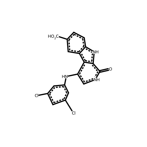 O=C(O)c1ccc2[nH]c3c(=O)[nH]cc(Nc4cc(Cl)cc(Cl)c4)c3c2c1